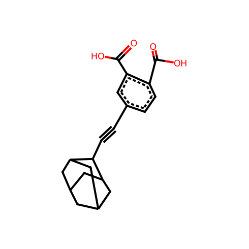 O=C(O)c1ccc(C#CC2C3CC4CC(C3)CC2C4)cc1C(=O)O